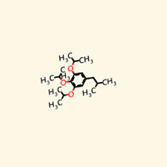 CC(C)Cc1cc(OC(C)C)c(OC(C)C)c(OC(C)C)c1